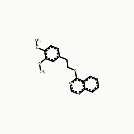 COc1ccc(CCOc2ncnc3ccccc23)cc1OC